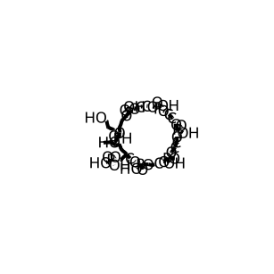 CCCC1CC(COP(=O)(O)O)COP(=O)(O)OCCOP(=O)(O)OCCOP(=O)(O)OCCOP(=O)(O)OCCOP(=O)(O)OCCO[PH]1(O)OCCCO